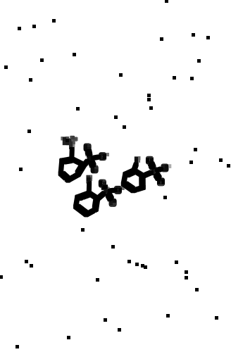 O=S(=O)([O-])c1ccccc1F.O=S(=O)([O-])c1ccccc1F.O=S(=O)([O-])c1ccccc1F.[Tb+3]